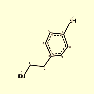 CCC(C)CCc1ccc(S)cc1